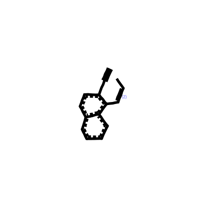 C#Cc1ccc2ccccc2c1/C=C\C